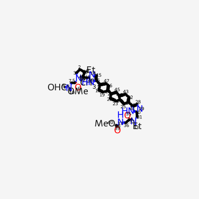 CC[C@@H]1CCN(C(=O)CN(C=O)OC)[C@]1(C)c1ncc(-c2ccc(-c3ccc4cc(-c5cnc(CN(CC)C(=O)CNC(=O)OC)[nH]5)ccc4c3)cc2)[nH]1